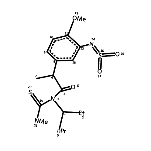 CCCC(CC)N(C(=O)C(C)c1ccc(OC)c(N=S(=O)=O)c1)C(=S)NC